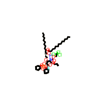 C=CCO[C@H]1O[C@H](CF)[C@@H](OP(=O)(Oc2ccccc2)Oc2ccccc2)[C@H](OCC[C@@H](CCCCCCCCCCC)OC(=O)CCCCCCCCCCCCC)[C@H]1NC(=O)OCC(Cl)(Cl)Cl